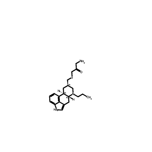 CCCN1C[C@H](CSCC(=O)CN)C[C@@H]2c3cccc4[nH]cc(c34)C[C@H]21